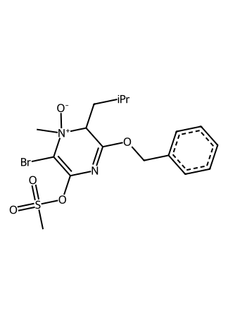 CC(C)CC1C(OCc2ccccc2)=NC(OS(C)(=O)=O)=C(Br)[N+]1(C)[O-]